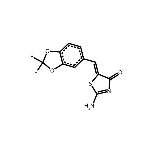 NC1=NC(=O)C(=Cc2ccc3c(c2)OC(F)(F)O3)S1